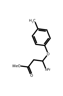 CCCC(CC(=O)OC)Oc1ccc(C)cc1